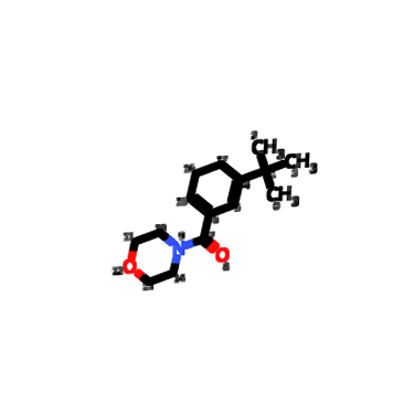 CC(C)(C)C1=CC(C(=O)N2CCOCC2)=CCC1